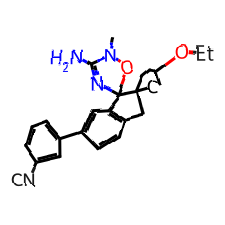 [C-]#[N+]c1cccc(-c2ccc3c(c2)C2(N=C(N)N(C)O2)C2(CCC(OCC)CC2)C3)c1